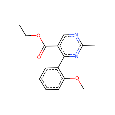 CCOC(=O)c1cnc(C)nc1-c1ccccc1OC